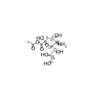 CC(=O)OC(=O)C1(O)C[C@H](O)[C@@H](N)[C@H](C(O)C(O)CO)O1